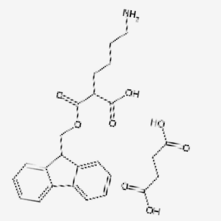 NCCCCC(C(=O)O)C(=O)OCC1c2ccccc2-c2ccccc21.O=C(O)CCC(=O)O